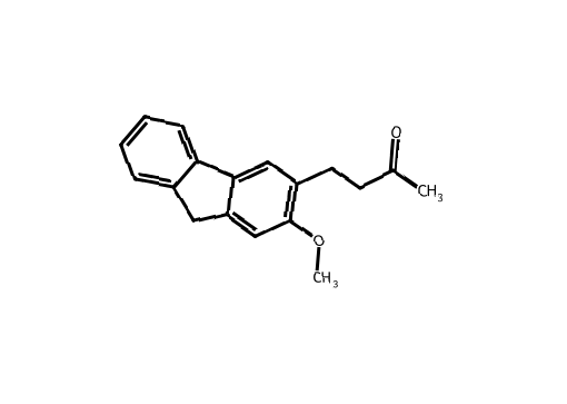 COc1cc2c(cc1CCC(C)=O)-c1ccccc1C2